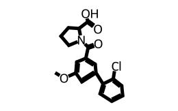 COc1cc(C(=O)N2CCCC2C(=O)O)cc(-c2ccccc2Cl)c1